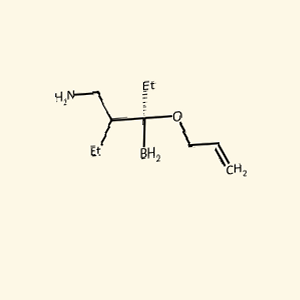 B[C@](CC)(OCC=C)C(CC)CN